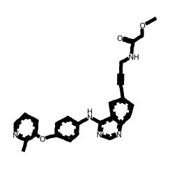 COCC(=O)NCC#Cc1ccc2ncnc(Nc3ccc(Oc4cccnc4C)cc3)c2c1